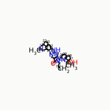 C=CCn1c(=O)c2cnc(Nc3cc4c5c(c3)CN(C)CC5CC4)nc2n1-c1ccc2c(n1)C(O)(CC)CC2